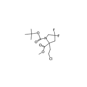 COC(=O)C1(CCCl)CC(F)(F)CN1C(=O)OC(C)(C)C